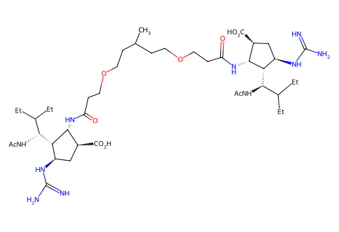 CCC(CC)[C@@H](NC(C)=O)[C@@H]1[C@H](NC(=O)CCOCCC(C)CCOCCC(=O)N[C@H]2[C@@H]([C@H](NC(C)=O)C(CC)CC)[C@H](NC(=N)N)C[C@@H]2C(=O)O)[C@@H](C(=O)O)C[C@H]1NC(=N)N